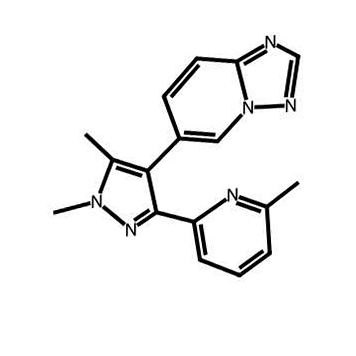 Cc1cccc(-c2nn(C)c(C)c2-c2ccc3ncnn3c2)n1